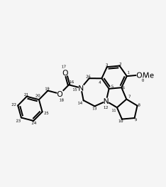 COc1ccc2c3c1C1CCCC1N3CCN(C(=O)OCc1ccccc1)C2